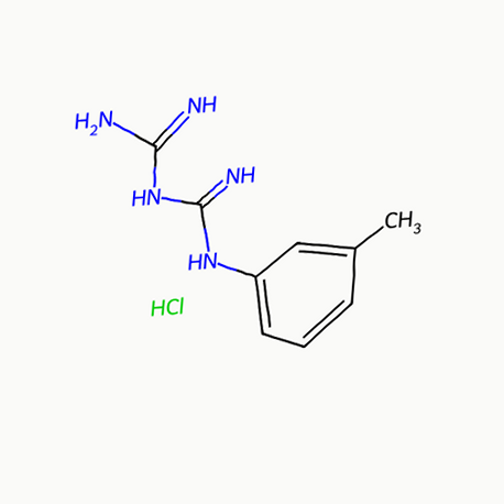 Cc1cccc(NC(=N)NC(=N)N)c1.Cl